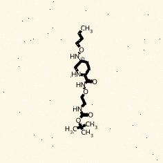 CCCCON[C@@H]1CCC(C(=O)NOCCNC(=O)OC(C)(C)C)NC1